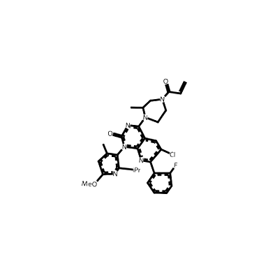 C=CC(=O)N1CCN(c2nc(=O)n(-c3c(C)cc(OC)nc3C(C)C)c3nc(-c4ccccc4F)c(Cl)cc23)C(C)C1